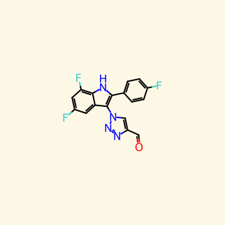 O=Cc1cn(-c2c(-c3ccc(F)cc3)[nH]c3c(F)cc(F)cc23)nn1